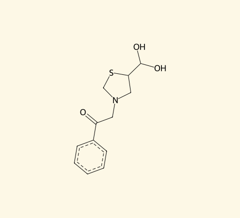 O=C(CN1CSC(C(O)O)C1)c1ccccc1